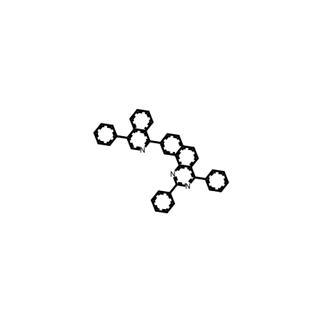 c1ccc(-c2nc(-c3ccccc3)c3ccc4ccc(-c5ncc(-c6ccccc6)c6ccccc56)cc4c3n2)cc1